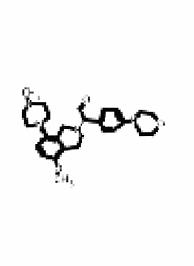 COc1ccc(N2CCN(C)CC2)c2c1CCN([C@H](C=O)c1ccc(N3CCOCC3)cc1)C2